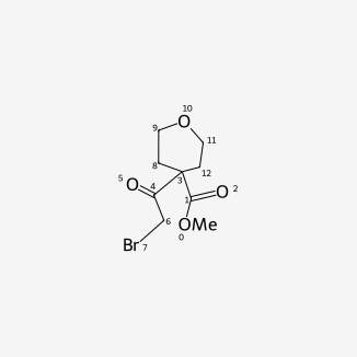 COC(=O)C1(C(=O)CBr)CCOCC1